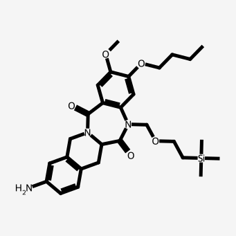 CCCCOc1cc2c(cc1OC)C(=O)N1Cc3cc(N)ccc3CC1C(=O)N2COCC[Si](C)(C)C